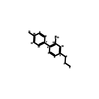 CCCc1ccc(-c2ccc(C)cc2)c(F)c1